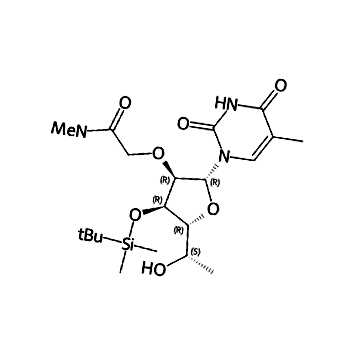 CNC(=O)CO[C@@H]1[C@H](O[Si](C)(C)C(C)(C)C)[C@@H]([C@H](C)O)O[C@H]1n1cc(C)c(=O)[nH]c1=O